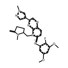 C=C1CCC(Cn2/c(=N/c3cc(OC)cc(OC)c3F)ccc3ncc(-c4cnn(C)c4)nc32)N1C